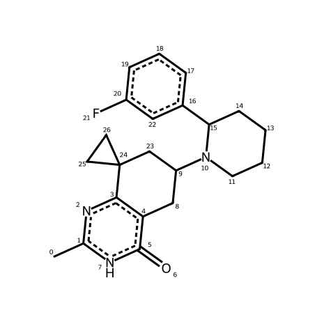 Cc1nc2c(c(=O)[nH]1)CC(N1CCCCC1c1cccc(F)c1)CC21CC1